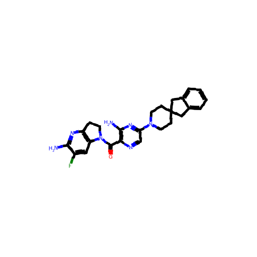 Nc1nc2c(cc1F)N(C(=O)c1ncc(N3CCC4(CC3)Cc3ccccc3C4)nc1N)CC2